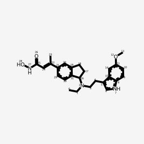 CCN(CCc1c[nH]c2ccc(OC)cc12)C1CCc2cc(C(C)=CC(=O)NO)ccc21